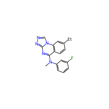 CCc1ccc2c(N(C)c3cccc(F)c3)nc3nncn3c2c1